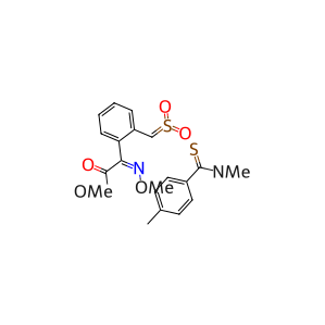 CNC(=S)c1ccc(C)cc1.CON=C(C(=O)OC)c1ccccc1C=S(=O)=O